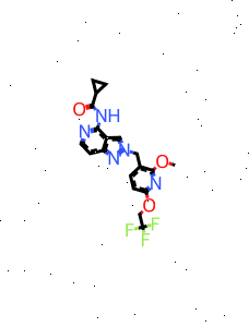 COc1nc(OCC(F)(F)F)ccc1Cn1cc2c(NC(=O)C3CC3)nccc2n1